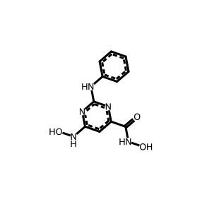 O=C(NO)c1cc(NO)nc(Nc2ccccc2)n1